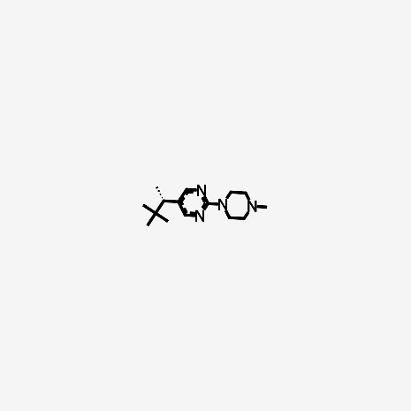 C[C@H](c1cnc(N2CCN(C)CC2)nc1)C(C)(C)C